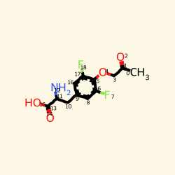 CC(=O)COc1c(F)cc(CC(N)C(=O)O)cc1F